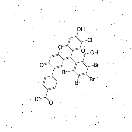 O=C(O)c1ccc(-c2cc3c(-c4c(Br)c(Br)c(Br)c(Br)c4C(=O)O)c4cc(Cl)c(O)cc4oc-3cc2=O)cc1